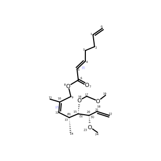 C=CCC/C=C/C(=O)OC/C(C)=C\[C@@H](C)[C@H](OCOC)[C@H](C=C)OC